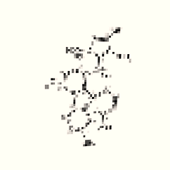 CC1=[C](/[Zr+2](=[CH]/c2ccc(C(C)(C)C)cc2)[c]2c(C(C)(C)C)ccc3c2Cc2cc(C(C)(C)C)ccc2-3)C(C)C=C1C(C)C.[Cl-].[Cl-]